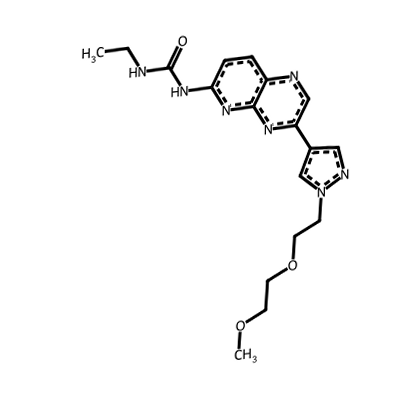 CCNC(=O)Nc1ccc2ncc(-c3cnn(CCOCCOC)c3)nc2n1